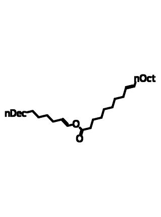 CCCCCCCCC=CCCCCCCCC(=O)OC=CCCCCCCCCCCCCCC